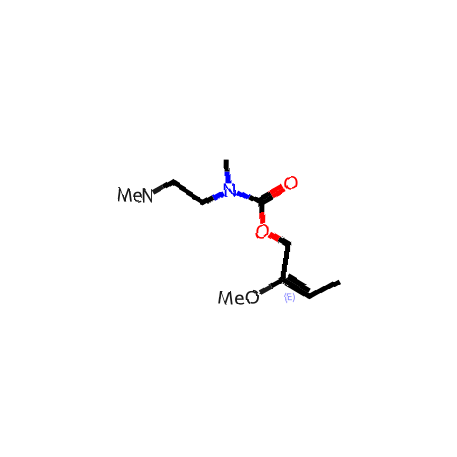 C/C=C(\COC(=O)N(C)CCNC)OC